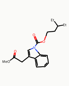 CCC(CC)CCOC(=O)n1cc(CC(=O)OC)c2ccccc21